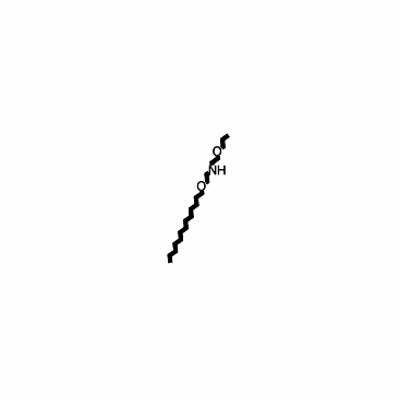 CCCCCCCCCCCCCOCCNCCOCCC